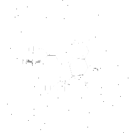 CCCCCCCCCCC(CO[C@@H]1OC(COC(C)=O)[C@@H](C)[C@H](C)C1NCP)N=[N+]=[N-]